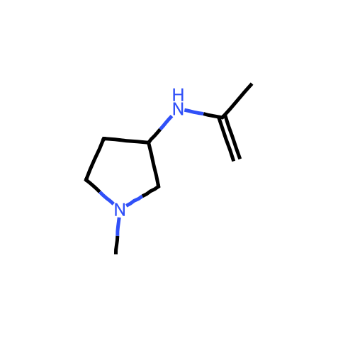 C=C(C)NC1CCN(C)C1